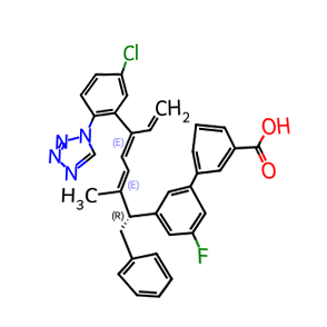 C=C/C(=C\C=C(/C)[C@@H](Cc1ccccc1)c1cc(F)cc(-c2cccc(C(=O)O)c2)c1)c1cc(Cl)ccc1-n1cnnn1